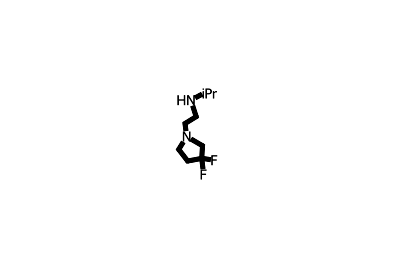 CC(C)NCCN1CCC(F)(F)C1